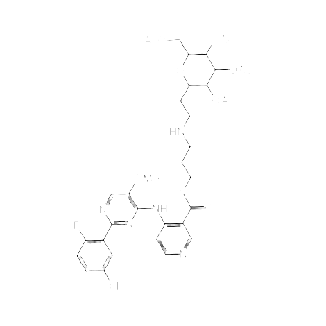 COc1cnc(-c2cc(Cl)ccc2F)nc1Nc1ccncc1C(=O)NCCCNCCC1OC(COC(C)=O)C(OC(C)=O)C(OC(C)=O)C1OC(C)=O